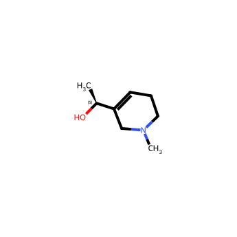 C[C@H](O)C1=CCCN(C)C1